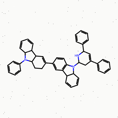 C1=CC2c3cc(C4=CC5C6C=CC=CC6N(c6ccccc6)C5CC4)ccc3N(C3CC(c4ccccc4)=CC(c4ccccc4)N3)C2C=C1